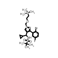 CC(C)(C)S(=O)(=O)NC(c1cn(COCC[Si](C)(C)C)nc1-c1cc(F)ccc1Br)C1CC1